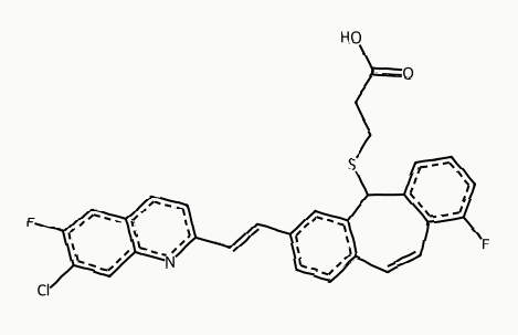 O=C(O)CCSC1c2cc(/C=C/c3ccc4cc(F)c(Cl)cc4n3)ccc2C=Cc2c(F)cccc21